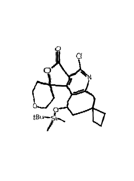 CC(C)(C)[Si](C)(C)OC1CC2(CCC2)Cc2nc(Cl)c3c(c21)C1(CCOCC1)OC3=O